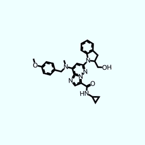 COc1ccc(CN(C)c2cc(N3c4ccccc4CC3CO)nn3c(C(=O)NC4CC4)cnc23)cc1